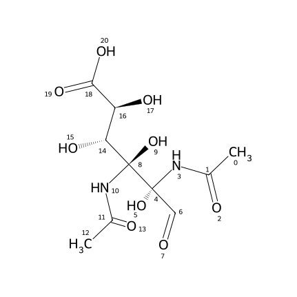 CC(=O)N[C@@](O)(C=O)[C@](O)(NC(C)=O)[C@H](O)[C@H](O)C(=O)O